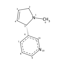 CN1CC=C[C@H]1c1cccnc1